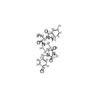 Cc1ccc(F)c(C(=O)N[C@@H](C(=O)N2CCC3(CC2)C(=O)N(C)C(=O)N3Cc2ccc(Cl)cc2)C(C)C)c1